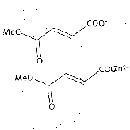 COC(=O)/C=C/C(=O)[O-].COC(=O)/C=C/C(=O)[O-].[Zn+2]